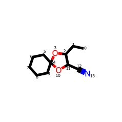 CCC1OC2(CCCCC2)OC1C#N